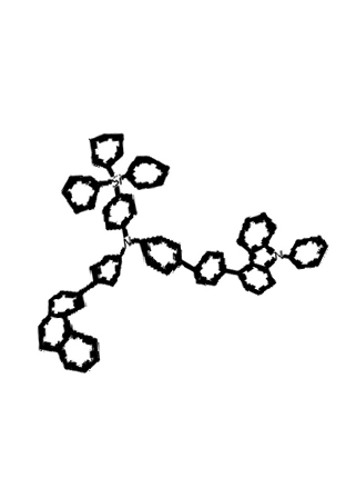 c1ccc(-n2c3ccccc3c3c(-c4ccc(-c5ccc(N(c6ccc(-c7ccc8ccc9ccccc9c8c7)cc6)c6ccc([Si](c7ccccc7)(c7ccccc7)c7ccccc7)cc6)cc5)cc4)cccc32)cc1